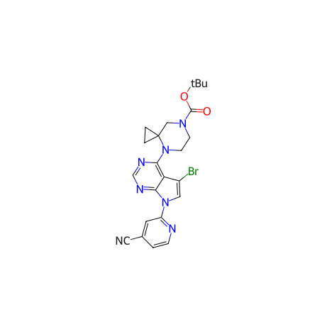 CC(C)(C)OC(=O)N1CCN(c2ncnc3c2c(Br)cn3-c2cc(C#N)ccn2)C2(CC2)C1